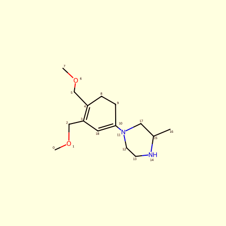 COCC1=C(COC)CCC(N2CCNC(C)C2)=C1